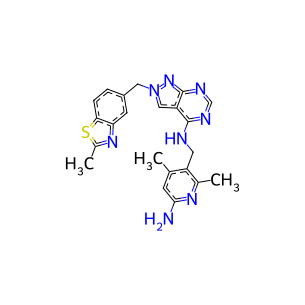 Cc1nc2cc(Cn3cc4c(NCc5c(C)cc(N)nc5C)ncnc4n3)ccc2s1